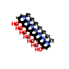 CCN1CCC(O)C2=C1N(CC)C1=C(C2O)C(O)C2=C(N1CC)N(CC)C1=C(C(O)C3=C(N(CC)C4=C(C(O)CCN4CC)C3O)N1CC)C2O